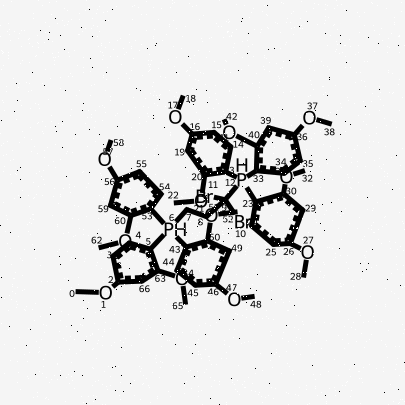 COc1ccc([PH](CCC(Br)(Br)[PH](c2ccc(OC)cc2OC)(c2ccc(OC)cc2OC)c2ccc(OC)cc2OC)(c2ccc(OC)cc2OC)c2ccc(OC)cc2OC)c(OC)c1